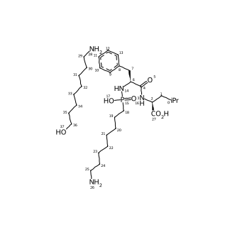 CC(C)C[C@H](NC(=O)[C@H](Cc1ccccc1)NP(=O)(O)CCCCCCCCN)C(=O)O.NCCCCCCCCO